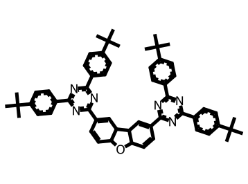 CC(C)(C)c1ccc(-c2nc(C3=CC4C(C=C3)OC3C=CC(c5nc(-c6ccc(C(C)(C)C)cc6)nc(-c6ccc(C(C)(C)C)cc6)n5)=CC34)nc(-c3ccc(C(C)(C)C)cc3)n2)cc1